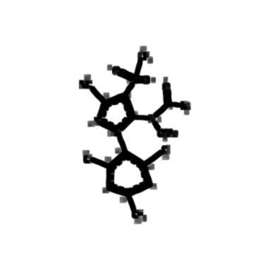 CCC(=O)N(OC)c1c(S(=O)(=O)C(F)(F)F)c(C#N)nn1-c1c(Cl)cc(C(F)(F)F)cc1Cl